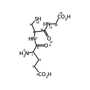 NC(CCC(=O)O)C(=O)NC(CS)C(=O)NCC(=O)O